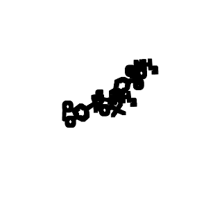 CC(C)(C)C(=O)[C@@](N)(Cc1ccc(S(=O)(=O)ON)cc1)c1nc(-c2ccc3c(c2)OCCO3)cs1